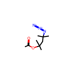 CC(=O)OC(C)(C)CC(C)(C)N=[N+]=[N-]